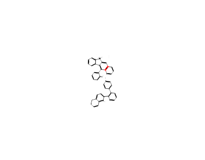 CC1(C)c2ccccc2-c2c(-c3ccccc3N(c3ccccc3)c3ccc(-c4cccc5oc6c7c(ccc6c45)CCC=C7)cc3)cccc21